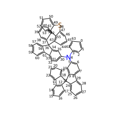 c1ccc(N(c2ccc3c(c2)C(c2ccccc2)(c2ccccc2)c2ccccc2-3)c2ccc3c(c2)C(c2ccccc2)(c2cccc4sc5ccccc5c24)c2ccccc2-3)cc1